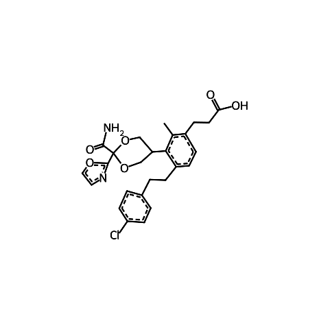 Cc1c(CCC(=O)O)ccc(CCc2ccc(Cl)cc2)c1C1COC(C(N)=O)(c2ncco2)OC1